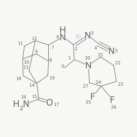 CC(/C(=N\C#N)NC1C2CC3CC1CC(C(N)=O)(C3)C2)N1CCCC(F)(F)C1